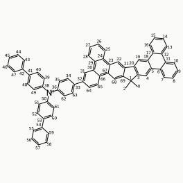 CC1(C)c2cc3c4ccccc4c4ccccc4c3cc2-c2cc3c4ccccc4c4cc(-c5ccc(N(c6ccc(-c7ccccc7)cc6)c6ccc(-c7ccccc7)cc6)cc5)ccc4c3cc21